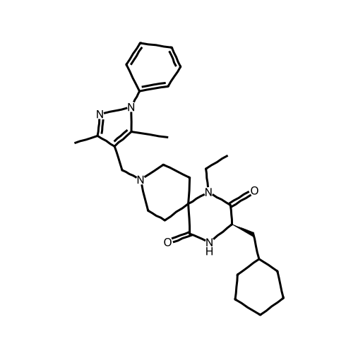 CCN1C(=O)[C@@H](CC2CCCCC2)NC(=O)C12CCN(Cc1c(C)nn(-c3ccccc3)c1C)CC2